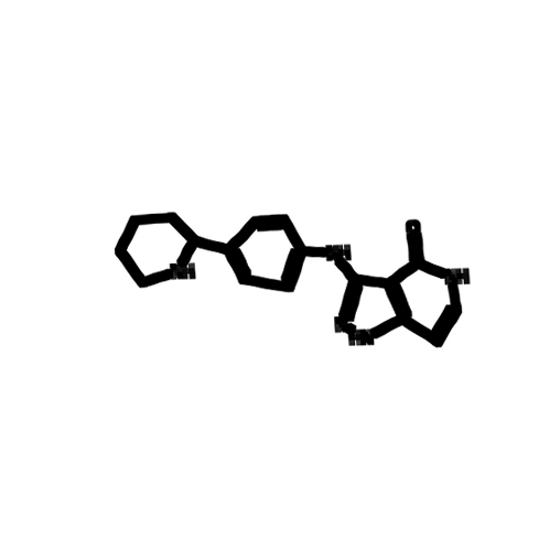 O=c1[nH]ccc2[nH]nc(Nc3ccc(C4CCCCN4)cc3)c12